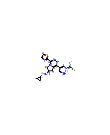 N=C/C(=C\NC(F)F)C1=C2CC(NSC3CC3)CN2C(c2nccs2)=NC1